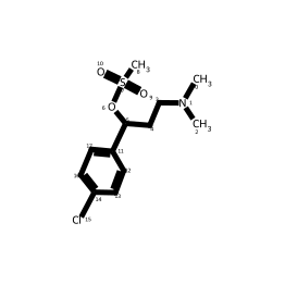 CN(C)CCC(OS(C)(=O)=O)c1ccc(Cl)cc1